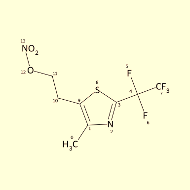 Cc1nc(C(F)(F)C(F)(F)F)sc1CCO[N+](=O)[O-]